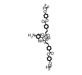 Nc1ccc(C(CC(=O)C=Cc2ccc(C(=O)Oc3ccc(OCC(F)(F)F)cc3)cc2)C(O)(O)C(=O)C=Cc2ccc(C(=O)Oc3ccc(OCC(F)(F)F)cc3)cc2)c(N)c1